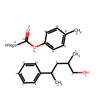 CC(CO)CC(C)c1ccccc1.CCCCCCCC(=O)Oc1ccc(C)cc1